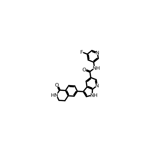 O=C(Nc1cncc(F)c1)c1cnc2[nH]cc(-c3ccc4c(c3)CCNC4=O)c2c1